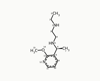 CCNCCN[C@@H](C)c1cccnc1OC